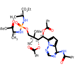 CCOC(=O)[C@H](C)NP(=O)(N[C@@H](C)C(=O)OC)OC[C@@](C#N)(OC)[C@@H](OC(=O)C(C)C)[C@@H](OC(=O)C(C)C)c1ccc2c(NC(=O)C(C)C)ncnn12